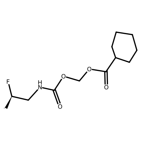 [CH2][C@@H](F)CNC(=O)OCOC(=O)C1CCCCC1